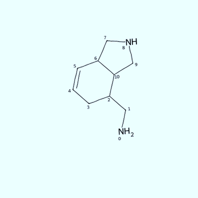 NCC1CC=CC2CNCC21